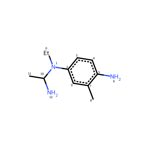 CCN(c1ccc(N)c(C)c1)C(C)N